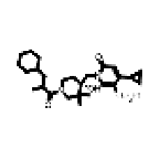 CCOC(=O)c1cn(C[C@]2(O)CCN(C(=O)C(C)CC3CCCCC3)CC2(C)C)c(=O)cc1C1CC1